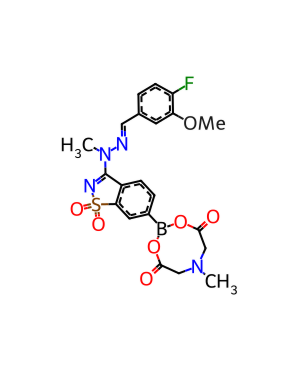 COc1cc(/C=N/N(C)C2=NS(=O)(=O)c3cc(B4OC(=O)CN(C)CC(=O)O4)ccc32)ccc1F